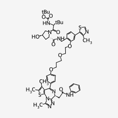 Cc1ncsc1-c1ccc(CNC(=O)[C@@H]2C[C@@H](O)CN2C(=O)[C@@H](NC(=O)OC(C)(C)C)C(C)(C)C)c(OCCOCCCOc2ccc(C3=N[C@@H](CC(=O)Nc4ccccc4)c4nnc(C)n4-c4sc(C)c(C)c43)cc2)c1